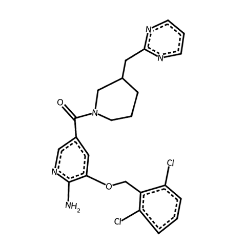 Nc1ncc(C(=O)N2CCCC(Cc3ncccn3)C2)cc1OCc1c(Cl)cccc1Cl